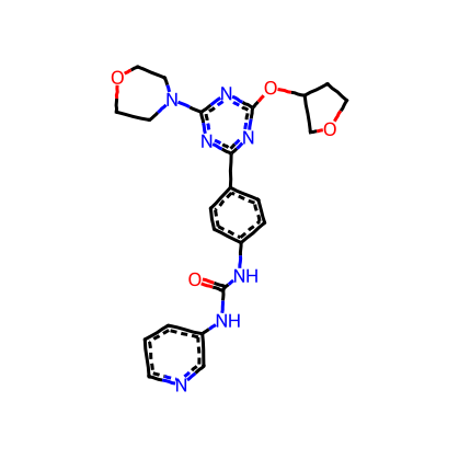 O=C(Nc1ccc(-c2nc(OC3CCOC3)nc(N3CCOCC3)n2)cc1)Nc1cccnc1